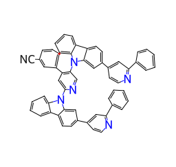 N#Cc1cccc(-c2cc(-n3c4ccccc4c4ccc(-c5ccnc(-c6ccccc6)c5)cc43)ncc2-n2c3ccccc3c3ccc(-c4ccnc(-c5ccccc5)c4)cc32)c1